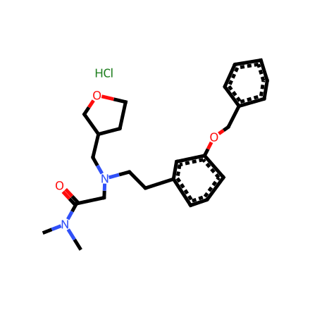 CN(C)C(=O)CN(CCc1cccc(OCc2ccccc2)c1)CC1CCOC1.Cl